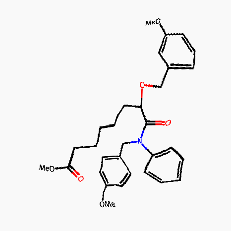 COC(=O)CCCCCC(OCc1cccc(OC)c1)C(=O)N(Cc1ccc(OC)cc1)c1ccccc1